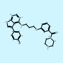 O=C(c1cccc(OCCCOc2ncnc3scc(-c4ccc(F)cc4)c23)c1)N1CCOCC1